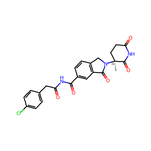 C[C@]1(N2Cc3ccc(C(=O)NC(=O)Cc4ccc(Cl)cc4)cc3C2=O)CCC(=O)NC1=O